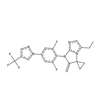 CCc1cnc2n1C1(CC1)C(=O)N2c1c(F)cc(-n2cc(C(F)(F)F)cn2)cc1F